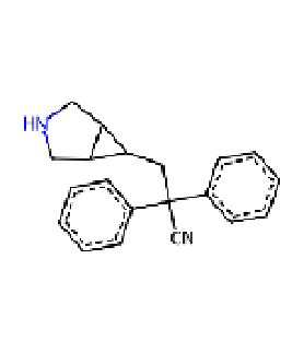 N#CC(CC1C2CNCC21)(c1ccccc1)c1ccccc1